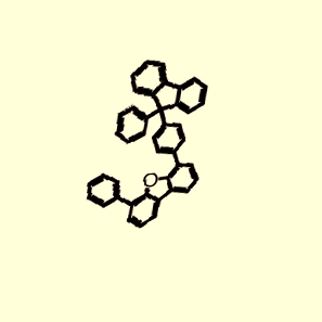 c1ccc(-c2cccc3c2oc2c(-c4ccc(C5(c6ccccc6)c6ccccc6-c6ccccc65)cc4)cccc23)cc1